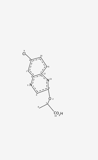 CC(Oc1cnc2cc(Cl)ccc2n1)C(=O)O